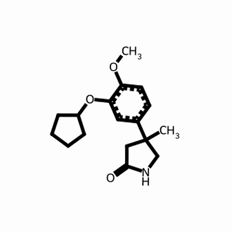 COc1ccc(C2(C)CNC(=O)C2)cc1OC1CCCC1